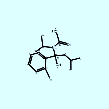 CC(C)C[C@](O)(c1ccccc1I)N(C(=O)O)C(C)C